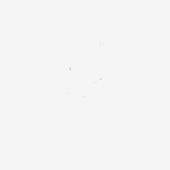 C=CC.CC(C)(C)OC(=S)S